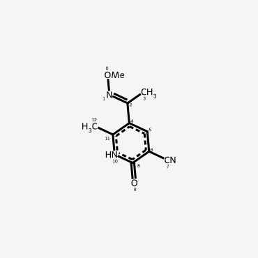 CO/N=C(\C)c1cc(C#N)c(=O)[nH]c1C